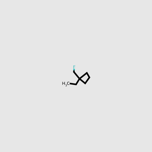 CCC1(CF)CCC1